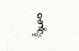 O=C(O)CN1C(=O)/C(=C/c2csc(N3CCCCC3)n2)SC1=S